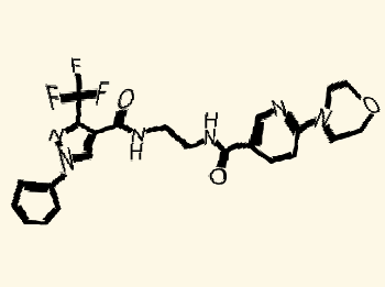 O=C(NCCNC(=O)c1cn(-c2ccccc2)nc1C(F)(F)F)c1ccc(N2CCOCC2)nc1